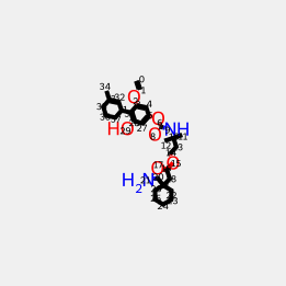 C=COc1cc(OC(=O)NC(C)(C)CCOC(=O)CC2(CN)CCCCC2)cc(O)c1C1C=C(C)CCC1